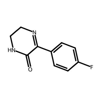 O=C1NCCN=C1c1ccc(F)cc1